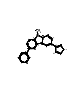 CN1c2ccc(-c3ccccc3)cc2C2C=C(C3=CCC=C3)C=CC21